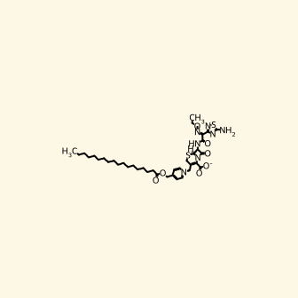 CCCCCCCCCCCCCCCCCC(=O)OCc1cc[n+](CC2=C(C(=O)[O-])N3C(=O)C(NC(=O)C(=NOCC)c4nsc(N)n4)[C@@H]3SC2)cc1